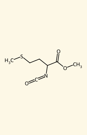 COC(=O)C(CCSC)N=C=O